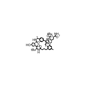 Cc1cc(CCCC(=O)NC(C(=O)N2C[C@H](O)C[C@H]2C(=O)N[C@@H](C)c2ccc(-c3scnc3C)cc2)C(C)(C)C)c(F)c(OC[C@H](CCC(N)=O)NC(=O)OC(C)(C)C)c1